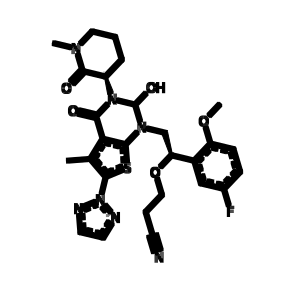 COc1ccc(F)cc1[C@H](CN1c2sc(-n3nccn3)c(C)c2C(=O)N([C@@H]2CCCN(C)C2=O)C1O)OCCC#N